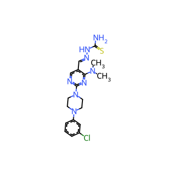 CN(C)c1nc(N2CCN(c3cccc(Cl)c3)CC2)ncc1C=NNC(N)=S